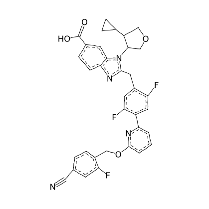 N#Cc1ccc(COc2cccc(-c3cc(F)c(Cc4nc5ccc(C(=O)O)cc5n4C4COCC4C4CC4)cc3F)n2)c(F)c1